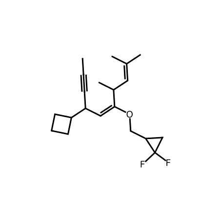 CC#CC(/C=C(/OCC1CC1(F)F)C(C)C=C(C)C)C1CCC1